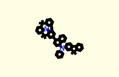 CC1(C)c2ccccc2-c2ccc(N(c3ccccc3)c3ccc(-c4cc5c6c(c4)c4cccc7c4n6-c4c(cccc4C5(C)C)C7(C)C)c4ccccc34)cc21